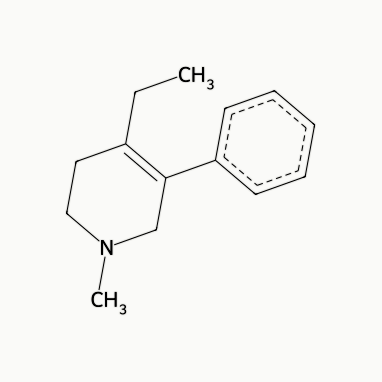 CCC1=C(c2ccccc2)CN(C)CC1